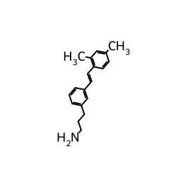 Cc1ccc(/C=C/c2cccc(CCCN)c2)c(C)c1